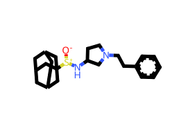 [O-][S+](NC1CCN(CCc2ccccc2)C1)C12CC3CC(CC(C3)C1)C2